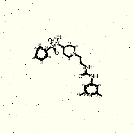 CCN(C1CCN(CCNC(=O)Nc2cc(C)nc(C)c2)CC1)S(=O)(=O)c1ccccc1